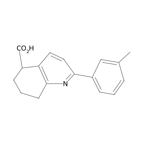 Cc1cccc(-c2ccc3c(n2)CCCC3C(=O)O)c1